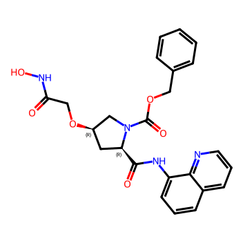 O=C(CO[C@@H]1C[C@H](C(=O)Nc2cccc3cccnc23)N(C(=O)OCc2ccccc2)C1)NO